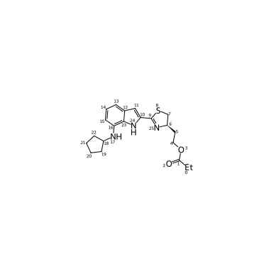 CCC(=O)OCC[C@@H]1CSC(c2cc3cccc(NC4CCCC4)c3[nH]2)=N1